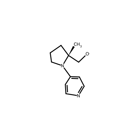 C[C@]1(C[O])CCCN1c1ccncc1